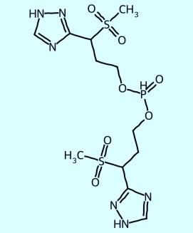 CS(=O)(=O)C(CCO[PH](=O)OCCC(c1nc[nH]n1)S(C)(=O)=O)c1nc[nH]n1